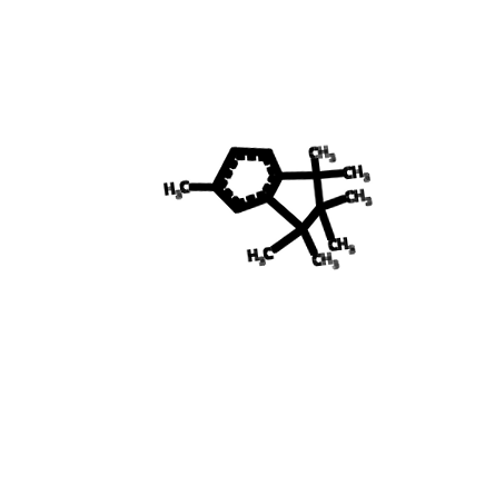 Cc1ccc2c(c1)C(C)(C)C(C)(C)C2(C)C